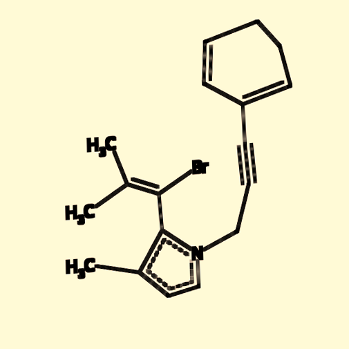 CC(C)=C(Br)c1c(C)ccn1CC#CC1=CCCC=C1